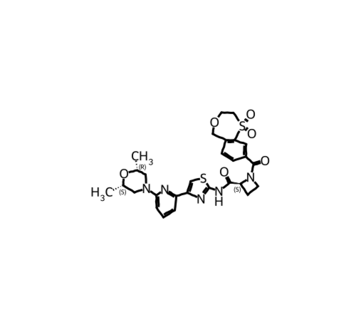 C[C@@H]1CN(c2cccc(-c3csc(NC(=O)[C@@H]4CCN4C(=O)c4ccc5c(c4)S(=O)(=O)CCOC5)n3)n2)C[C@H](C)O1